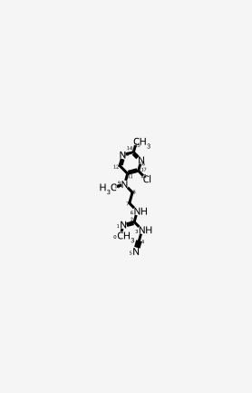 CN=C(NC#N)NCCN(C)c1cnc(C)nc1Cl